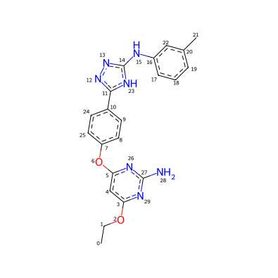 CCOc1cc(Oc2ccc(-c3nnc(Nc4cccc(C)c4)[nH]3)cc2)nc(N)n1